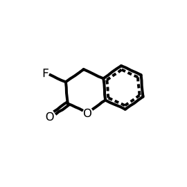 O=C1Oc2ccccc2CC1F